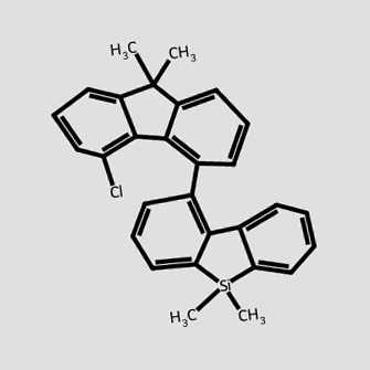 CC1(C)c2cccc(Cl)c2-c2c(-c3cccc4c3-c3ccccc3[Si]4(C)C)cccc21